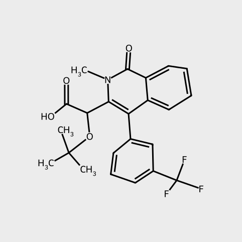 Cn1c(C(OC(C)(C)C)C(=O)O)c(-c2cccc(C(F)(F)F)c2)c2ccccc2c1=O